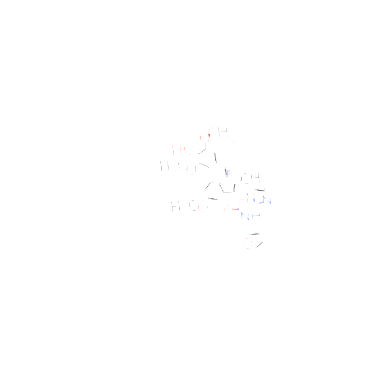 COc1ccc2c(c1)C(C(C(=O)NCc1ccco1)n1ccnc1)=C(C)/C2=C/c1cc(OC)c(O)c(OC)c1